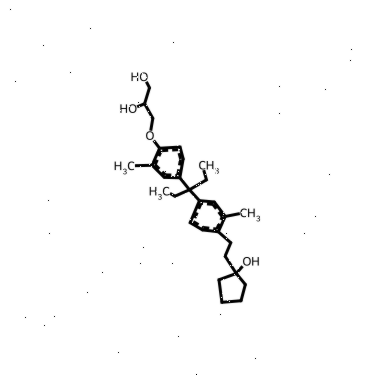 CCC(CC)(c1ccc(CCC2(O)CCCC2)c(C)c1)c1ccc(OCC(O)CO)c(C)c1